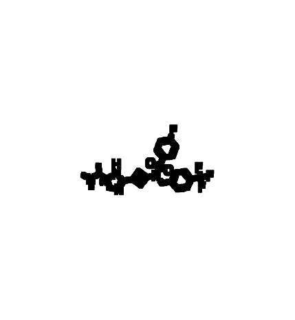 CC([C@@H]1CN=C(C23CC(N(Cc4ccc(C(F)(F)F)cc4)S(=O)(=O)c4ccc(F)cc4)(C2)C3)N1)N(C)C